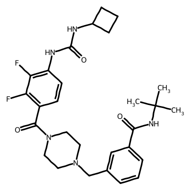 CC(C)(C)NC(=O)c1cccc(CN2CCN(C(=O)c3ccc(NC(=O)NC4CCC4)c(F)c3F)CC2)c1